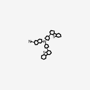 N#Cc1ccc2cc(N(c3ccc(-c4cccc5c4sc4ccccc45)cc3)c3ccc(-c4cccc5c4sc4ccccc45)cc3)ccc2c1